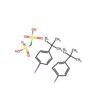 CC(C)(C)c1ccc(I)cc1.CC(C)(C)c1ccc(I)cc1.O=S(=O)(O)CS(=O)(=O)O